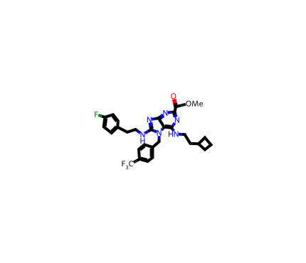 COC(=O)c1nc(NCCC2CCC2)c2c(n1)nc(NCCc1ccc(F)cc1)n2Cc1ccc(C(F)(F)F)cc1